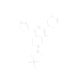 Cn1ccc(-c2nc(-c3cccc(F)c3)nc3c2CCN(C(=O)OC(C)(C)C)C3)n1